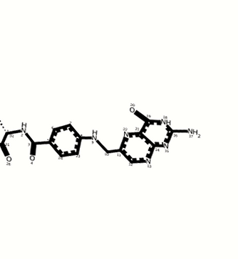 C[C@H](NC(=O)c1ccc(NCc2cnc3nc(N)[nH]c(=O)c3n2)cc1)C(=O)N=O